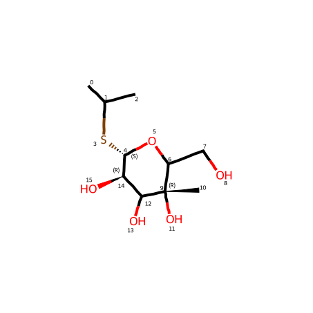 CC(C)S[C@@H]1OC(CO)[C@](C)(O)C(O)[C@H]1O